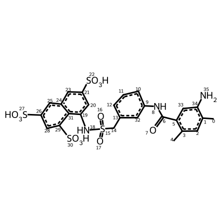 Cc1cc(C)c(C(=O)Nc2cccc(CS(=O)(=O)Nc3cc(S(=O)(=O)O)cc4cc(S(=O)(=O)O)cc(S(=O)(=O)O)c34)c2)cc1N